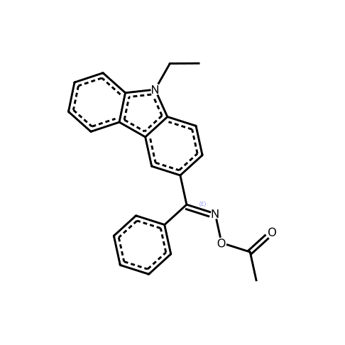 CCn1c2ccccc2c2cc(/C(=N/OC(C)=O)c3ccccc3)ccc21